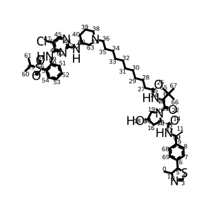 CC1N=CSC1c1ccc([C@H](C)NC(=O)[C@@H]2C[C@@H](O)CN2C(=O)[C@@H](NC(=O)CCCCCCCCCCN2CCC[C@@H](Nc3ncc(Cl)c(Nc4ccccc4S(=O)(=O)C(C)C)n3)C2)C(C)(C)C)cc1